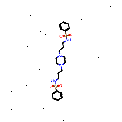 O=S(=O)(NCCCN1CCN(CCCNS(=O)(=O)c2ccccc2)CC1)c1ccccc1